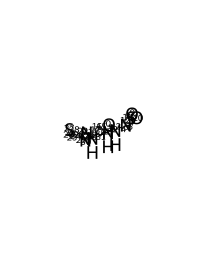 O=C(NCCN1CCS(=O)(=O)CC1)Nc1cccc(Nc2ncc(-c3ccsc3)cn2)c1